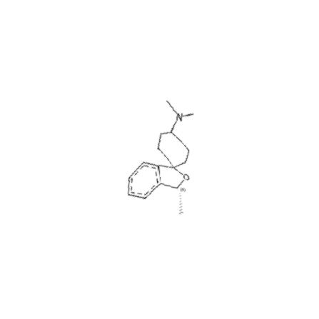 C[C@H]1OC2(CCC(N(C)C)CC2)c2ccccc21